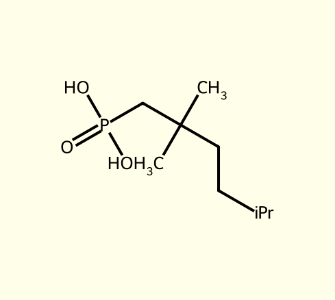 CC(C)CCC(C)(C)CP(=O)(O)O